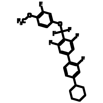 Fc1cc(OC(F)(F)c2c(F)cc(-c3ccc(C4CCCCC4)cc3F)cc2F)ccc1OC(F)(F)F